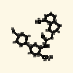 O=C(Cc1ccc2cccc(O)c2c1)Nc1cc(-c2ccc(F)cc2)ccc1C(=O)O